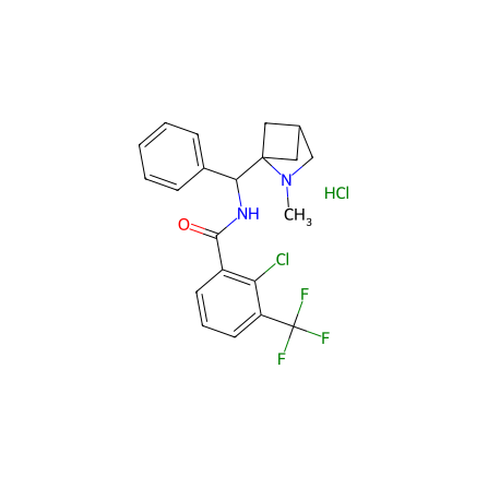 CN1CC2CC1(C(NC(=O)c1cccc(C(F)(F)F)c1Cl)c1ccccc1)C2.Cl